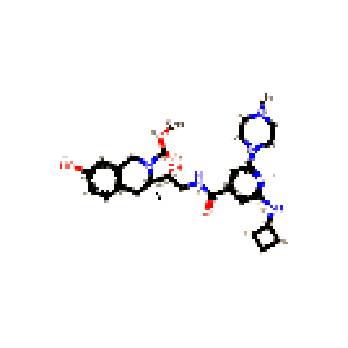 CC(C)N1CCN(c2cc(C(=O)NC[C@@H](O)[C@@]3(C)Cc4ccc(O)cc4CN3C(=O)OC(C)(C)C)cc(NC3CCC3)n2)CC1